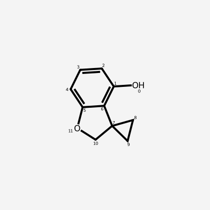 Oc1cccc2c1C1(CC1)CO2